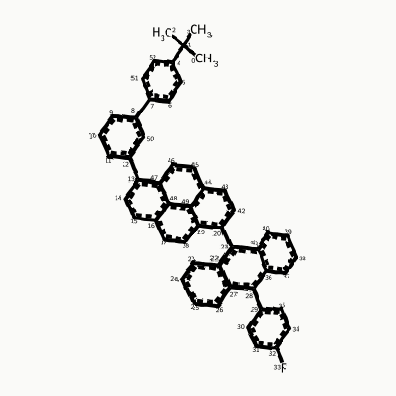 CC(C)(C)c1ccc(-c2cccc(-c3ccc4ccc5c(-c6c7ccccc7c(-c7ccc(F)cc7)c7ccccc67)ccc6ccc3c4c65)c2)cc1